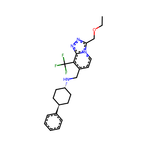 CCOCc1nnc2c(C(F)(F)F)c(CN[C@H]3CC[C@H](c4ccccc4)CC3)ccn12